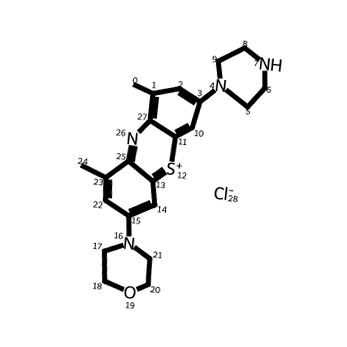 Cc1cc(N2CCNCC2)cc2[s+]c3cc(N4CCOCC4)cc(C)c3nc12.[Cl-]